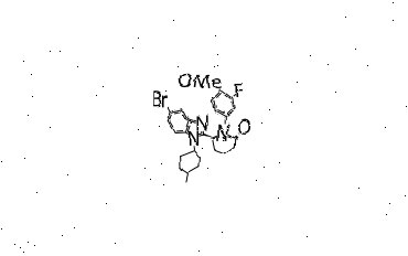 COc1ccc(N2C(=O)CCC[C@H]2c2nc3cc(Br)ccc3n2C2CCC(C)CC2)cc1F